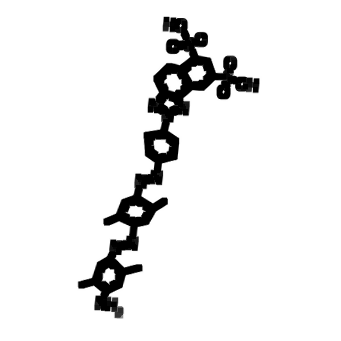 Cc1cc(N=Nc2cc(C)c(N=Nc3ccc(-n4nc5ccc6c(S(=O)(=O)O)cc(S(=O)(=O)O)cc6c5n4)cc3)cc2C)c(C)cc1N